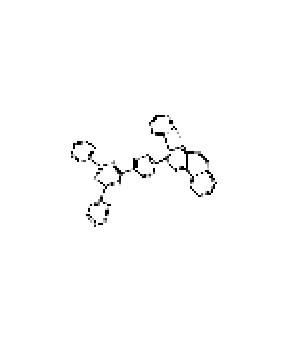 c1ccc(-c2nc(-c3ccccc3)nc(-c3ccc(-c4nc5c6ccccc6ccc5c5oc6ccccc6c45)cc3)n2)cc1